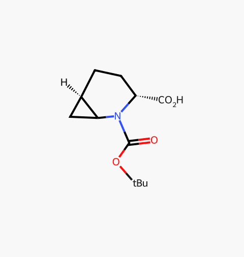 CC(C)(C)OC(=O)N1C2C[C@H]2CC[C@@H]1C(=O)O